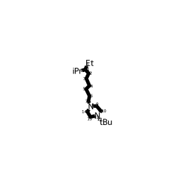 CCC(CCCCCCN1CCN(C(C)(C)C)CC1)C(C)C